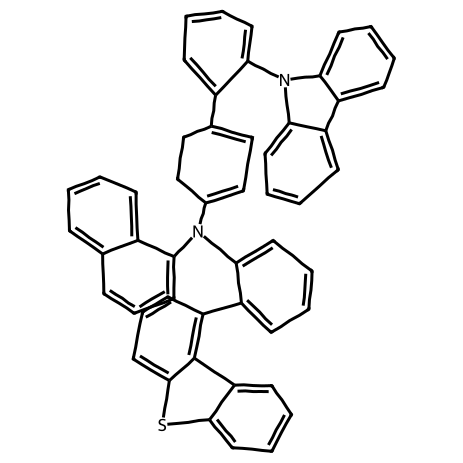 c1cc2sc3ccccc3c2c(-c2ccccc2N(C2=CC=C(c3ccccc3-n3c4ccccc4c4ccccc43)CC2)c2cccc3ccccc23)c#1